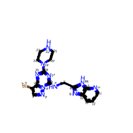 Brc1cnn2c(NCc3nc4cccnc4[nH]3)nc(N3CCNCC3)nc12